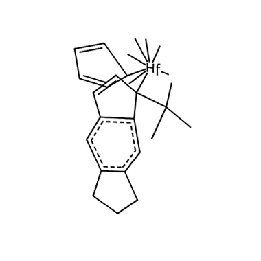 CC(C)(C)[C]1([Hf]([CH3])([CH3])([CH3])([CH3])([CH3])([CH3])([CH3])[CH]2C=CC=C2)C=Cc2cc3c(cc21)CCC3